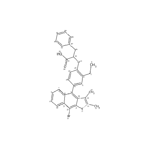 CCc1cc(-c2c3ccccc3c(Br)c3sc(C)c(C)c23)ccc1OC(Cc1ccccc1)C(=O)O